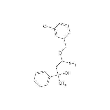 CC(O)(CC(N)OCc1cccc(Cl)c1)c1ccccc1